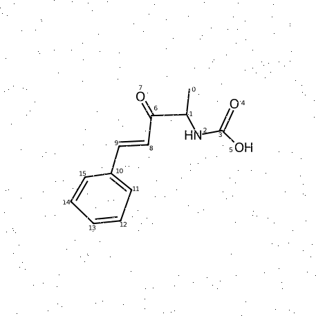 CC(NC(=O)O)C(=O)C=Cc1ccccc1